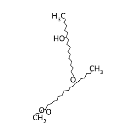 C=CCOC(=O)CCCCCCCCCCC(CCCCCC)OCCCCCCCCCCCC(O)CCCCCC